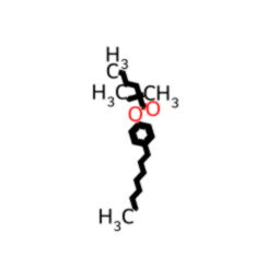 CCCCCCCCc1ccc(OC(=O)C(C)(CC)CCCC)cc1